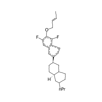 C/C=C/COc1c(F)cc2cc([C@@H]3CC[C@@H]4CC(CCC)CCC4C3)ccc2c1F